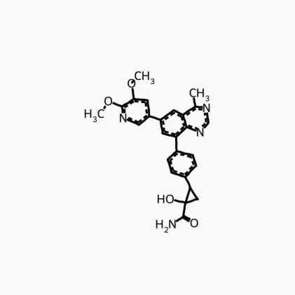 COc1cc(-c2cc(-c3ccc(C4CC4(O)C(N)=O)cc3)c3ncnc(C)c3c2)cnc1OC